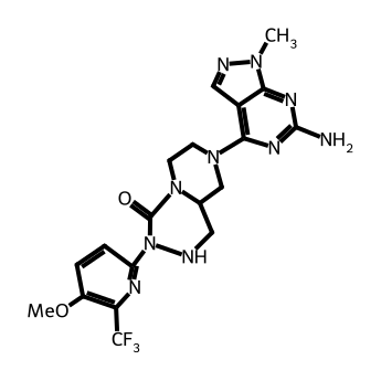 COc1ccc(N2NCC3CN(c4nc(N)nc5c4cnn5C)CCN3C2=O)nc1C(F)(F)F